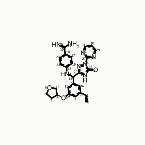 C=Cc1cc(O[C@H]2CCOC2)cc(C(Nc2ccc(C(=N)N)cc2)c2nn(-c3ncccn3)c(=O)[nH]2)c1